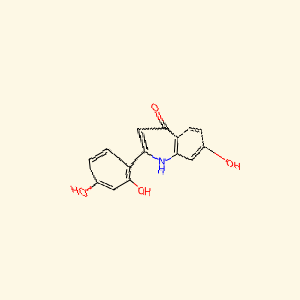 O=c1cc(-c2ccc(O)cc2O)[nH]c2cc(O)ccc12